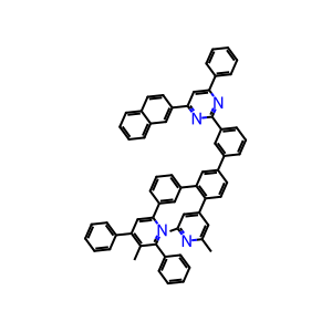 Cc1cc(-c2ccc(-c3cccc(-c4nc(-c5ccccc5)cc(-c5ccc6ccccc6c5)n4)c3)cc2-c2cccc(-c3cc(-c4ccccc4)c(C)c(-c4ccccc4)n3)c2)cc(C)n1